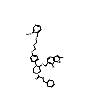 COc1ccccc1COCCCOc1ccc(C2CCN(C(=O)OCc3ccccc3)CC2OCc2ccc3cc(C)[nH]c3c2Br)cc1